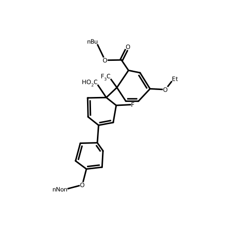 CCCCCCCCCOc1ccc(C2=CC(F)C(C(=O)O)(C3(C(F)(F)F)C=CC(OCC)=CC3C(=O)OCCCC)C=C2)cc1